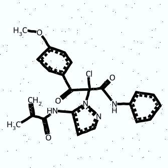 C=C(C)C(=O)Nc1ccnn1C(Cl)(C(=O)Nc1ccccc1)C(=O)c1ccc(OC)cc1